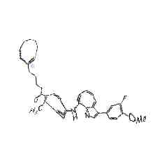 COc1ccc(-c2cnc3c(Nc4ccc(C(=O)CCCC/C5=C/CCCCCC5)c(C)c4)ccccc2-3)cc1F